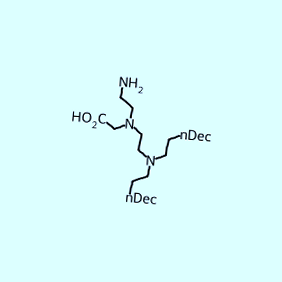 CCCCCCCCCCCCN(CCCCCCCCCCCC)CCN(CCN)CC(=O)O